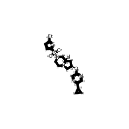 CCc1ccc(S(=O)(=O)N2CCN3C[C@H](Oc4cnc(C5CC5)cn4)C[C@H]3C2)s1